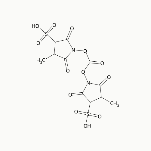 CC1C(=O)N(OC(=O)ON2C(=O)C(C)C(S(=O)(=O)O)C2=O)C(=O)C1S(=O)(=O)O